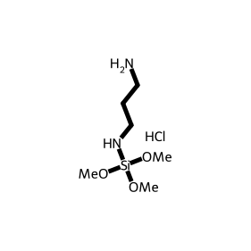 CO[Si](NCCCN)(OC)OC.Cl